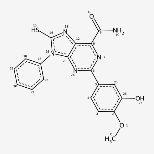 COc1ccc(-c2nc(C(N)=O)c3nc(S)n(-c4ccccc4)c3n2)cc1O